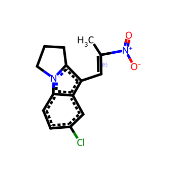 C/C(=C\c1c2n(c3ccc(Cl)cc13)CCC2)[N+](=O)[O-]